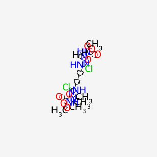 CC[C@H](C)N(C(=O)[C@@H](NC(=O)OC)C1CCOCC1)[C@@H](C)c1nc(Cl)c(-c2ccc(-c3ccc(-c4[nH]c([C@@H]5C[C@H]6C[C@H]6N5C(=O)[C@@H](NC(=O)OC)C5CCOCC5)nc4Cl)cc3)cc2)[nH]1